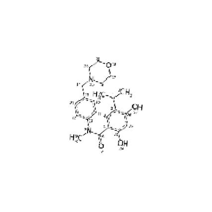 CC(C)c1cc(C(=O)N(C)c2ccc(CN3CCOCC3)cc2)c(O)cc1O